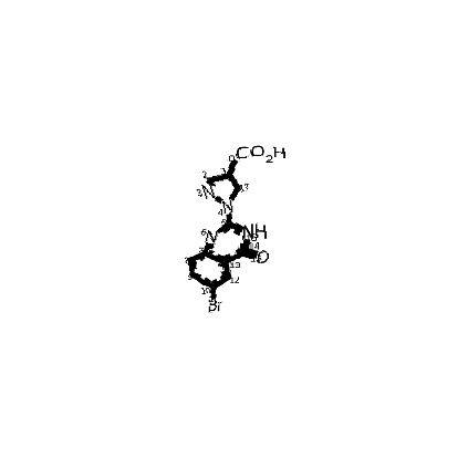 O=C(O)C1C=NN(c2nc3ccc(Br)cc3c(=O)[nH]2)C1